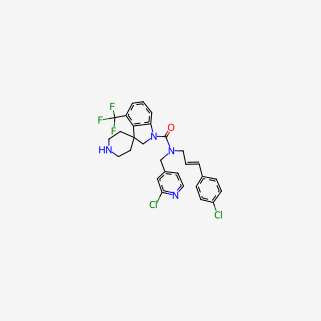 O=C(N(CC=Cc1ccc(Cl)cc1)Cc1ccnc(Cl)c1)N1CC2(CCNCC2)c2c1cccc2C(F)(F)F